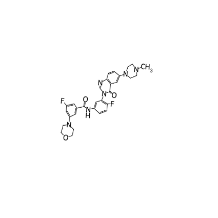 CN1CCN(c2ccc3ncn(-c4cc(NC(=O)c5cc(F)cc(N6CCOCC6)c5)ccc4F)c(=O)c3c2)CC1